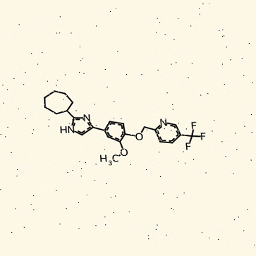 COc1cc(-c2c[nH]c(C3CCCCCC3)n2)ccc1OCc1ccc(C(F)(F)F)cn1